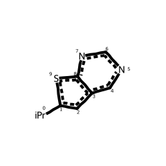 CC(C)c1cc2cncnc2s1